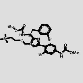 COC(=O)Nc1ccc(-c2cn(COCC[Si](C)(C)C)c([C@H](Cc3cccc(Br)c3)NC(=O)OC(C)(C)C)n2)c(Br)c1